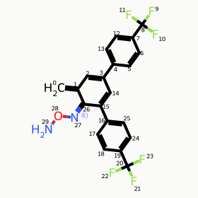 C=C1C=C(c2ccc(C(F)(F)F)cc2)C=C(c2ccc(C(F)(F)F)cc2)/C1=N/ON